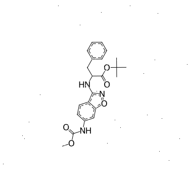 COC(=O)Nc1ccc2c(NC(Cc3ccccc3)C(=O)OC(C)(C)C)noc2c1